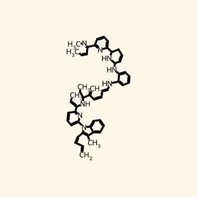 C=C/C=C\c1c(C)c2ccccc2n1-c1cccc(/C(=C/C)NC(CC)C(=C)/C=C\C=C\Nc2ccccc2NC2C=CCC(c3cccc(C(/C=C\C)=N/C)n3)N2)n1